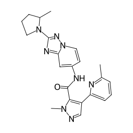 Cc1cccc(-c2cnn(C)c2C(=O)Nc2ccn3nc(N4CCCC4C)nc3c2)n1